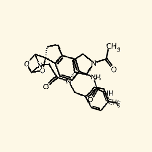 CNC(=O)Nc1ccc2c(c1)CC[C@@]21OC2OC1N2CC(=O)N(Cc1ccc(F)cc1)[C@@H]1CCN(C(C)=O)C1